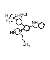 CCCCC1CNCCN1c1ccc(C(N)Cc2ccccc2)cc1C1CCC(C(C)(C)C)CC1.Cl